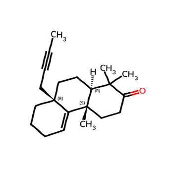 CC#CC[C@]12CCCC=C1[C@@]1(C)CCC(=O)C(C)(C)[C@@H]1CC2